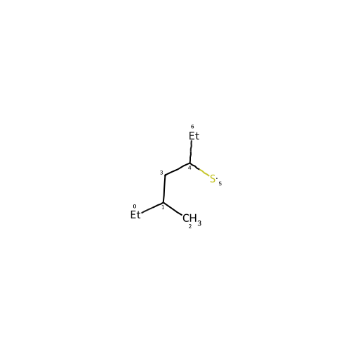 CCC(C)CC([S])CC